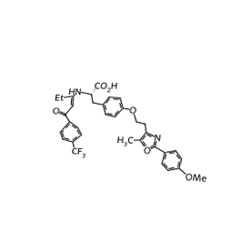 CC/C(=C\C(=O)c1ccc(C(F)(F)F)cc1)N[C@@H](Cc1ccc(OCCc2nc(-c3ccc(OC)cc3)oc2C)cc1)C(=O)O